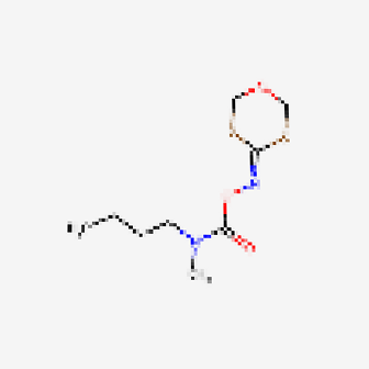 CCCCN(C)C(=O)ON=C1SCOCS1